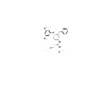 CC(C)(C)OC(=O)C(NCC(=O)O)C(=O)C1CCN(C(=O)c2cc(C(F)(F)F)cc(C(F)(F)F)c2)C(Cc2ccccc2)C1.Cl